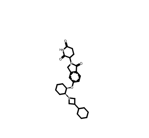 O=C1CCC(N2Cc3cc(O[C@@H]4CCCC[C@@H]4N4CC(C5CCCCC5)C4)ccc3C2=O)C(=O)N1